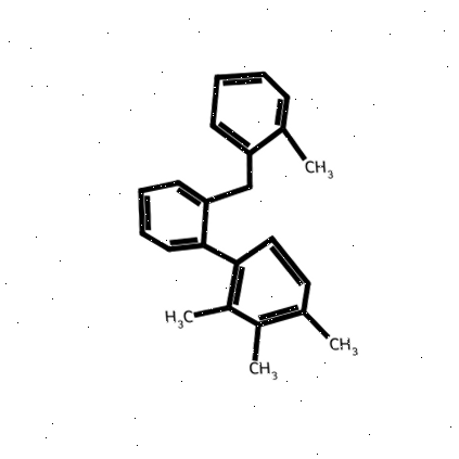 Cc1ccccc1Cc1ccccc1-c1ccc(C)c(C)c1C